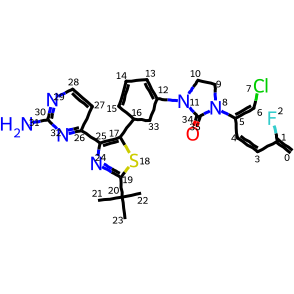 C=C(F)/C=C\C(=C\Cl)N1CCN(C2=CC=CC(c3sc(C(C)(C)C)nc3-c3ccnc(N)n3)C2)C1=O